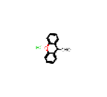 Cl.O=CC1c2ccccc2Oc2ccccc21